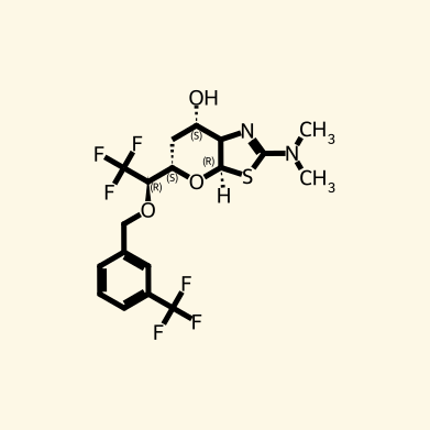 CN(C)C1=NC2[C@H](O[C@H]([C@@H](OCc3cccc(C(F)(F)F)c3)C(F)(F)F)C[C@@H]2O)S1